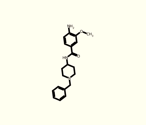 COc1cc(C(=O)NC2CCN(Cc3ccccc3)CC2)ccc1N